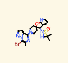 Cc1nc(N2CCC3(CC2)Oc2ncccc2[C@H]3N[S@+]([O-])C(C)(C)C)c2ccnn2c1Br